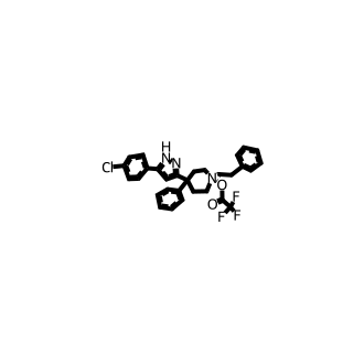 O=C(O[N+]1(CCc2ccccc2)CCC(c2ccccc2)(c2cc(-c3ccc(Cl)cc3)[nH]n2)CC1)C(F)(F)F